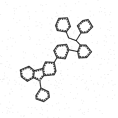 c1ccc(CC(c2ccccc2)c2ccccc2-c2cccc(-c3ccc4c(c3)c3ccccc3n4-c3ccccc3)c2)cc1